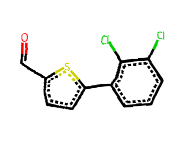 O=Cc1ccc(-c2cccc(Cl)c2Cl)s1